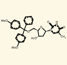 COc1ccc(C(OC[C@H]2O[C@@H](n3cc(C)c(=O)[nH]c3=O)C[C@@H]2OC(C)=O)(c2ccccc2)c2ccc(OC)cc2)cc1